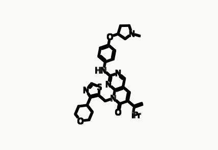 C=C(c1cc2cnc(Nc3ccc(OC4CCN(C)C4)cc3)nc2n(Cc2scnc2C2CCOCC2)c1=O)C(C)C